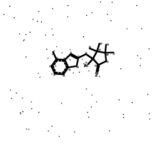 CC(=O)C1(CC2=Cc3c(C)cccc3C2)C(=O)CC(C)(C)C1(C)C